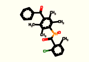 Cc1cccc(Cl)c1C(=O)[PH](=O)c1c(C)c(C)c(C(=O)c2ccccc2)c(C)c1C